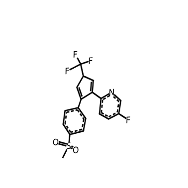 CS(=O)(=O)c1ccc(C2=CC(C(F)(F)F)C=C2c2ccc(F)cn2)cc1